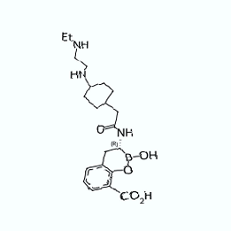 CCNCCNC1CCC(CC(=O)N[C@H]2Cc3cccc(C(=O)O)c3OB2O)CC1